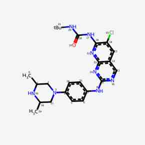 CC1CN(c2ccc(Nc3ncc4cc(Cl)c(NC(=O)NC(C)(C)C)nc4n3)cc2)CC(C)N1